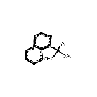 CCCC([C]=O)(OC(C)=O)c1cccc2ccccc12